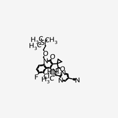 Cc1c(C2(C(=O)N[C@@H](C)c3ncc(C#N)cn3)CC2)c(=O)n(COCC[Si](C)(C)C)c2ccc(F)c(Cl)c12